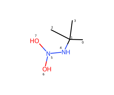 CC(C)(C)NN(O)O